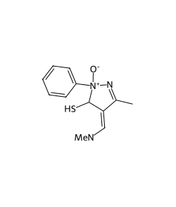 CNC=C1C(C)=N[N+]([O-])(c2ccccc2)C1S